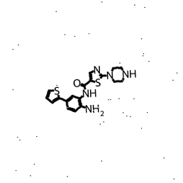 Nc1ccc(-c2cccs2)cc1NC(=O)c1cnc(N2CCNCC2)s1